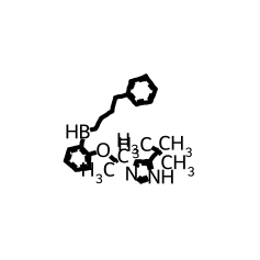 CC(C)(C)c1cnc[nH]1.CC(C)Oc1ccccc1BCCCCc1ccccc1